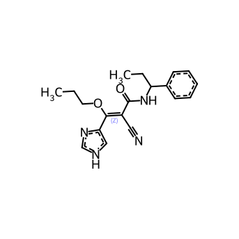 CCCO/C(=C(/C#N)C(=O)NC(CC)c1ccccc1)c1c[nH]cn1